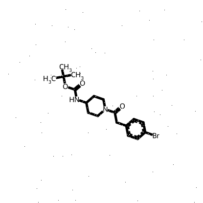 CC(C)(C)OC(=O)NC1CCN(C(=O)Cc2ccc(Br)cc2)CC1